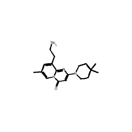 Cc1cc(CCN)c2nc(N3CCC(C)(C)CC3)cc(=O)n2c1